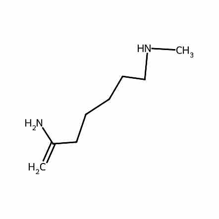 C=C(N)CCCCCNC